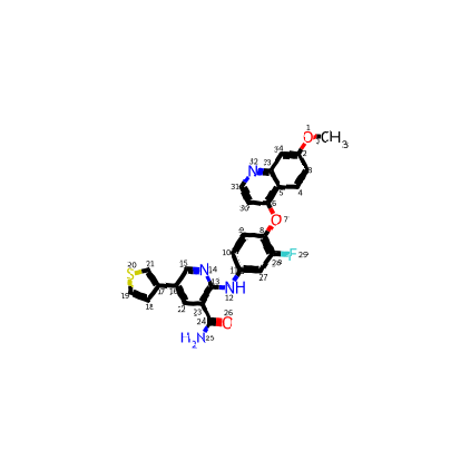 COc1ccc2c(Oc3ccc(Nc4ncc(-c5ccsc5)cc4C(N)=O)cc3F)ccnc2c1